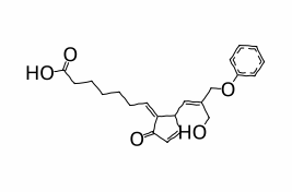 O=C(O)CCCCCC=C1C(=O)C=CC1C=C(CO)COc1ccccc1